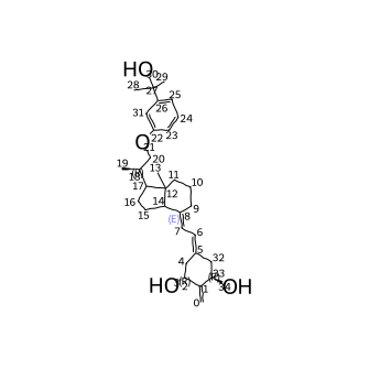 C=C1[C@H](O)CC(=C/C=C2\CCCC3(C)C2CCC3[C@@H](C)COc2cccc(C(C)(C)O)c2)C[C@H]1O